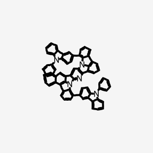 c1ccc(-n2c3ccccc3c3cc(-c4cccc5c6cccc7c8nc9c(cc8n(c45)c67)c4cc5ccccc5c5c6cccc(-c7ccc8c(c7)c7ccccc7n8-c7ccccc7)c6n9c45)ccc32)cc1